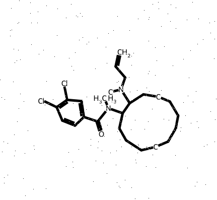 C=CCN(C)C1CCCCCCCCCCC1N(C)C(=O)c1ccc(Cl)c(Cl)c1